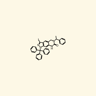 CC(c1ccccc1)N1Cc2cc3c(I)nn(C(c4ccccc4)(c4ccccc4)c4ccccc4)c3cc2NC1=O